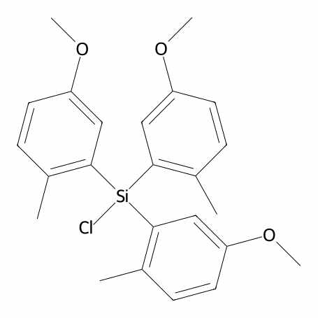 COc1ccc(C)c([Si](Cl)(c2cc(OC)ccc2C)c2cc(OC)ccc2C)c1